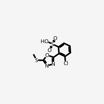 CSc1nnc(-c2c(Cl)cccc2S(=O)(=O)O)o1